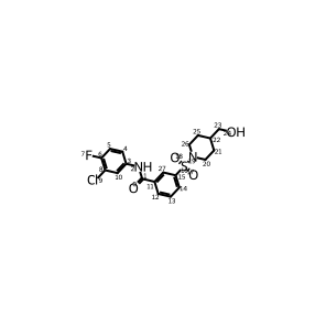 O=C(Nc1ccc(F)c(Cl)c1)c1cccc(S(=O)(=O)N2CCC(CO)CC2)c1